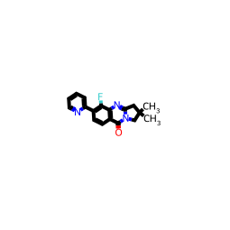 CC1(C)Cc2nc3c(F)c(-c4ccccn4)ccc3c(=O)n2C1